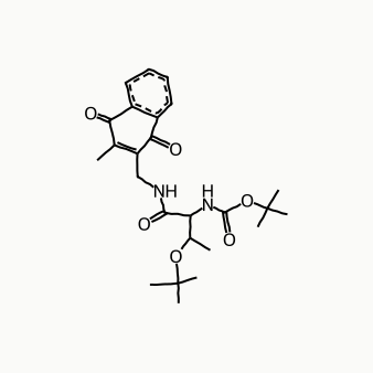 CC1=C(CNC(=O)C(NC(=O)OC(C)(C)C)C(C)OC(C)(C)C)C(=O)c2ccccc2C1=O